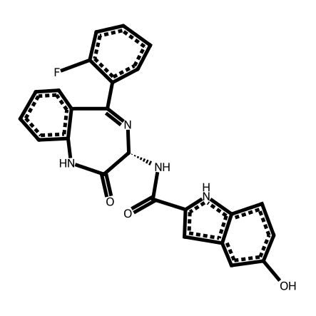 O=C(N[C@H]1N=C(c2ccccc2F)c2ccccc2NC1=O)c1cc2cc(O)ccc2[nH]1